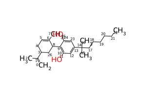 C=C(C)C1CC=C(C)C(c2c(O)cc(C(C)(C)CCCCCC)cc2O)C1